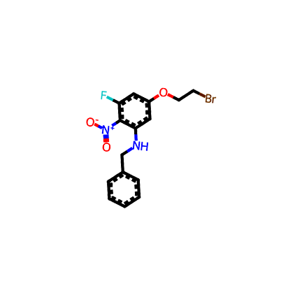 O=[N+]([O-])c1c(F)cc(OCCBr)cc1NCc1ccccc1